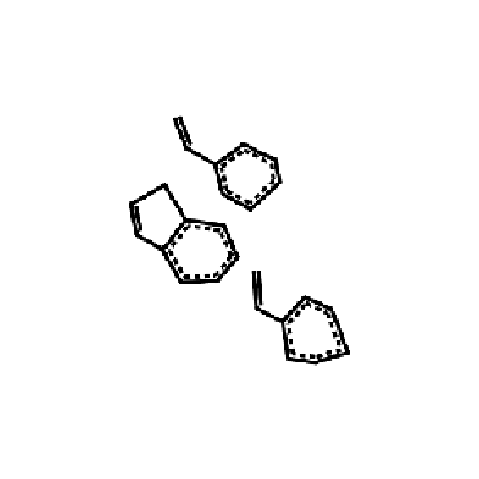 C1=Cc2ccccc2C1.C=Cc1ccccc1.C=Cc1ccccc1